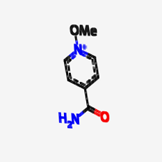 CO[n+]1ccc(C(N)=O)cc1